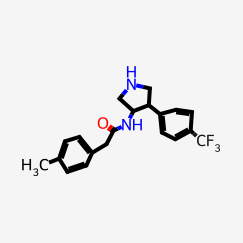 Cc1ccc(CC(=O)NC2CNCC2c2ccc(C(F)(F)F)cc2)cc1